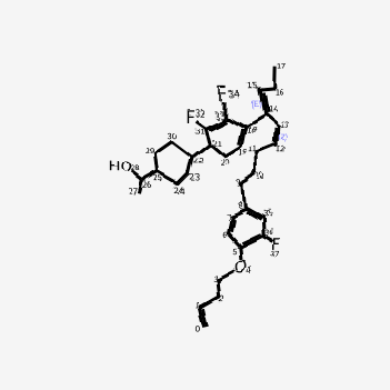 C=CCCOc1ccc(CCC/C=C\C(=C/CC)C2=CCC(C3CCC(C(C)O)CC3)C(F)=C2F)cc1F